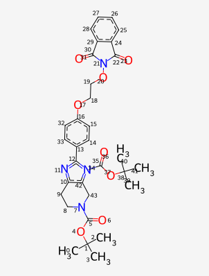 CC(C)(C)OC(=O)N1CCc2nc(-c3ccc(OCCON4C(=O)c5ccccc5C4=O)cc3)n(C(=O)OC(C)(C)C)c2C1